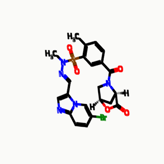 Cc1ccc(C(=O)N2C[C@H]3C[C@@H]2C(=O)O3)cc1S(=O)(=O)N(C)/N=C/c1cnc2ccc(Br)cn12